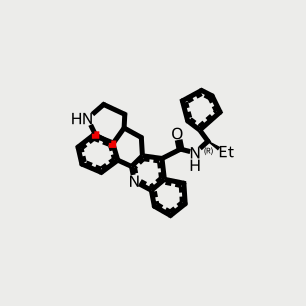 CC[C@@H](NC(=O)c1c(CC2CCNCC2)c(-c2ccccc2)nc2ccccc12)c1ccccc1